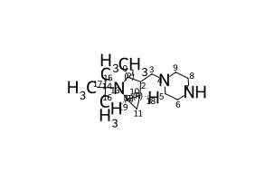 C[C@@H]1C(CN2CCNCC2)[C@H]2C[C@H]2N1C(C)(C)C